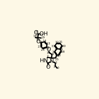 CCCN1C(=O)NCC1(CCOc1ccc(OC(C)(C)C(=O)O)cc1)Cc1ccc2ccccc2c1